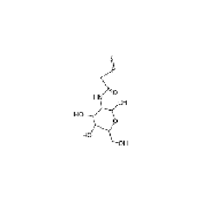 O=C(CP=S)NC1C(O)OC(CO)C(O)C1O